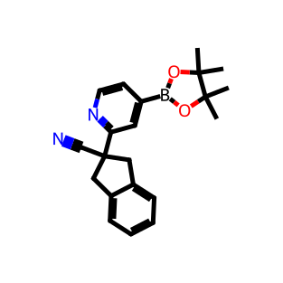 CC1(C)OB(c2ccnc(C3(C#N)Cc4ccccc4C3)c2)OC1(C)C